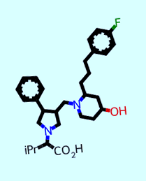 CC(C)C(C(=O)O)N1CC(CN2CCC(O)CC2CCCc2ccc(F)cc2)C(c2ccccc2)C1